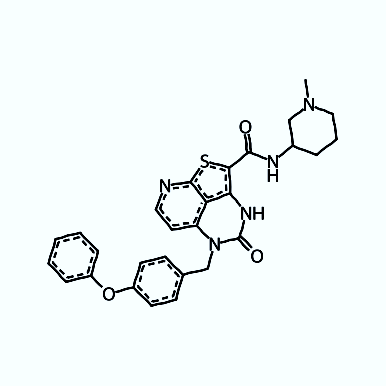 CN1CCCC(NC(=O)c2sc3nccc4c3c2NC(=O)N4Cc2ccc(Oc3ccccc3)cc2)C1